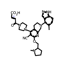 Cc1ccc2[nH]ncc2c1N1CCc2c(nc(OCC3CCCN3C)c(C#N)c2N2CCN(C(=O)/C=C/C(=O)O)CC2)C1